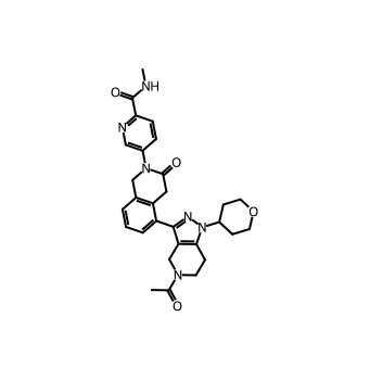 CNC(=O)c1ccc(N2Cc3cccc(-c4nn(C5CCOCC5)c5c4CN(C(C)=O)CC5)c3CC2=O)cn1